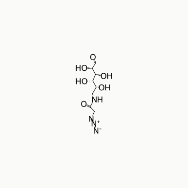 [N-]=[N+]=NCC(=O)NC[C@@H](O)[C@H](O)[C@H](O)[C@@H](O)C=O